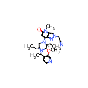 CC[C@H]1CN(C(C)c2ccncc2OC)[C@H](CC)CN1c1cc(=O)n(C)c2cn(CC#N)nc12